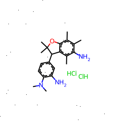 Cc1c(C)c2c(c(C)c1N)C(c1ccc(N(C)C)c(N)c1)C(C)(C)O2.Cl.Cl